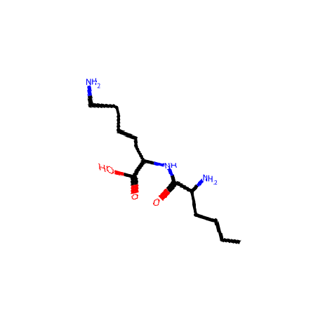 CCCCC(N)C(=O)NC(CCCCN)C(=O)O